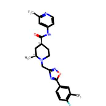 C[C@H]1C[C@@H](C(=O)Nc2ccnc(C(F)(F)F)c2)CCN1Cc1noc(-c2ccc(F)c(C(F)(F)F)c2)n1